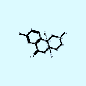 Cc1ccc2c(c1)C(=O)C[C@H]1CCN(C)C[C@H]21